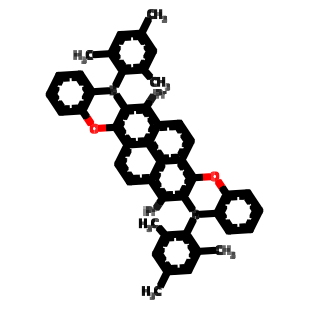 Cc1cc(C)c(B2c3ccccc3Oc3c2c(C(C)C)c2ccc4c5c(c(C(C)C)c6ccc3c2c46)B(c2c(C)cc(C)cc2C)c2ccccc2O5)c(C)c1